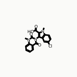 Cn1c(C(=O)O)c(-n2c(=O)c3ccccc3n(C)c2=O)c2cc(Cl)ccc21